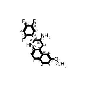 COc1ccc2ccc3c(c2c1)C[C@H](N)[C@@H](c1cc(F)c(F)cc1F)N3